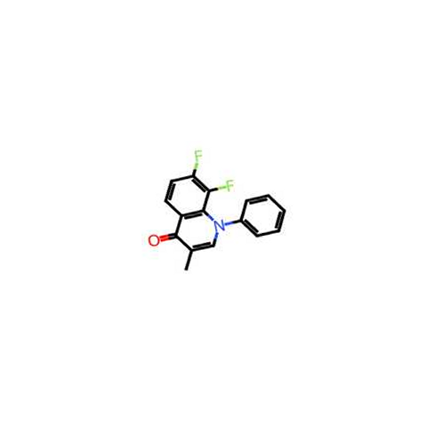 Cc1cn(-c2ccccc2)c2c(F)c(F)ccc2c1=O